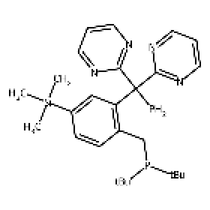 CC(C)(C)P(Cc1ccc([Si](C)(C)C)cc1C(P)(c1ncccn1)c1ncccn1)C(C)(C)C